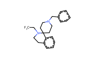 FC(F)(F)CN1CCc2ccccc2C12CCN(Cc1ccccc1)CC2